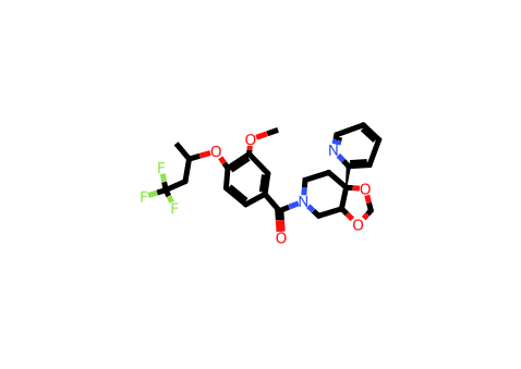 COc1cc(C(=O)N2CC[C@]3(c4ccccn4)OCOC3C2)ccc1OC(C)CC(F)(F)F